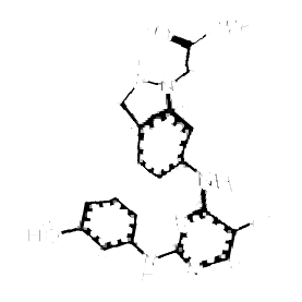 COC(=O)CN1NCc2ccc(Nc3nc(Nc4cccc(O)c4)ncc3F)cc21